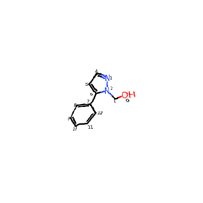 OCn1nccc1-c1ccccc1